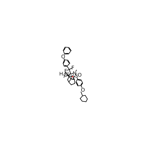 CN([C@@H](C(=O)C1C2CCC1CC(N)C2)C(F)(F)c1ccc(Oc2ccccc2)cc1)S(=O)(=O)c1ccc(OCC2CCCCC2)cc1